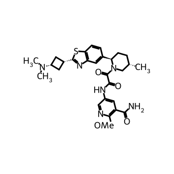 COc1ncc(NC(=O)C(=O)N2C[C@@H](C)CC[C@@H]2c2ccc3sc([C@H]4C[C@@H](N(C)C)C4)nc3c2)cc1C(N)=O